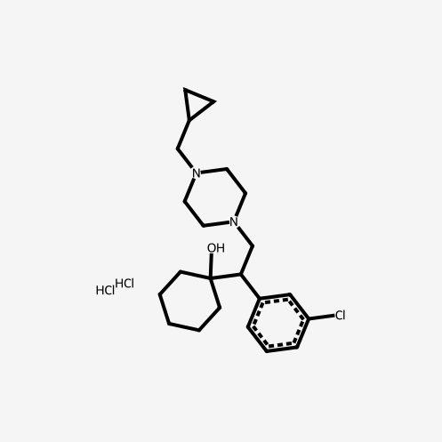 Cl.Cl.OC1(C(CN2CCN(CC3CC3)CC2)c2cccc(Cl)c2)CCCCC1